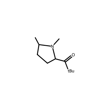 CC1CCC(C(=O)C(C)(C)C)N1C